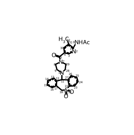 CC(=O)Nc1ncc(C(=O)N2CCN(C3c4ccccc4CS(=O)(=O)c4ccccc43)CC2)cc1C